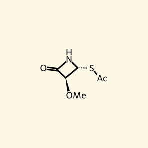 CO[C@H]1C(=O)N[C@@H]1SC(C)=O